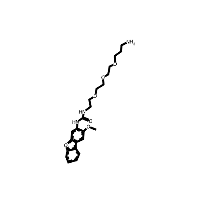 COc1cc2c(cc1NC(=O)NCCOCCOCCOCCCN)oc1ccccc12